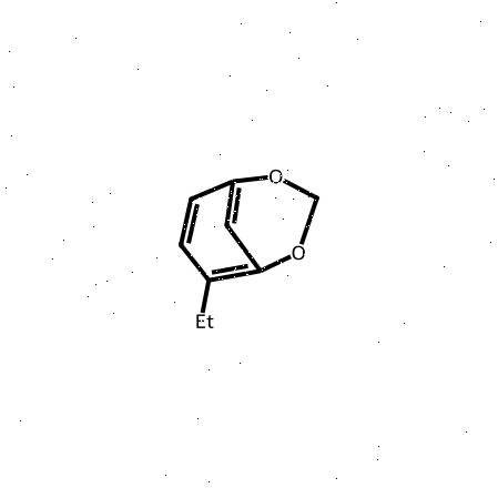 [CH2]Cc1ccc2cc1OCO2